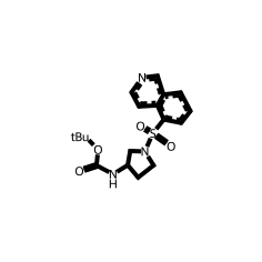 CC(C)(C)OC(=O)NC1CCN(S(=O)(=O)c2cccc3cnccc23)C1